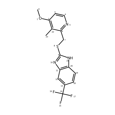 COc1ccnc(CSc2nc3cc(C(F)(F)F)ccc3[nH]2)c1C